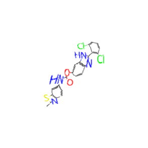 Cc1nc2ccc(NC(=O)Oc3ccc4nc(-c5c(Cl)cccc5Cl)[nH]c4c3)cc2s1